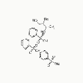 CC(O)C(O)CO.O=S(=O)(O)c1ccccc1.O=S(=O)(O)c1ccccc1.O=S(=O)(O)c1ccccc1